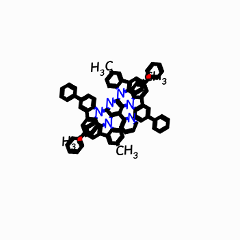 Cc1ccc2c(c1)c1cc(C)ccc1n2-c1nc(-n2c3ccc(-c4ccccc4)cc3c3cc(-c4ccccc4)ccc32)c(-n2c3ccc(C)cc3c3cc(C)ccc32)c(-c2ccccn2)c1-n1c2ccc(-c3ccccc3)cc2c2cc(-c3ccccc3)ccc21